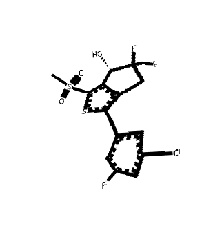 CS(=O)(=O)c1sc(-c2cc(F)cc(Cl)c2)c2c1[C@H](O)C(F)(F)C2